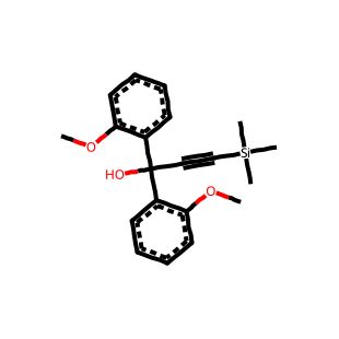 COc1ccccc1C(O)(C#C[Si](C)(C)C)c1ccccc1OC